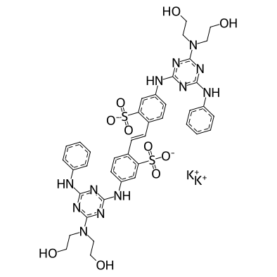 O=S(=O)([O-])c1cc(Nc2nc(Nc3ccccc3)nc(N(CCO)CCO)n2)ccc1C=Cc1ccc(Nc2nc(Nc3ccccc3)nc(N(CCO)CCO)n2)cc1S(=O)(=O)[O-].[K+].[K+]